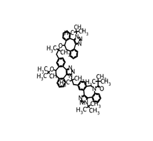 CC(C)(C)OC1Cc2ccccc2-c2c(nnn2C(C)(C)Cc2ccc3c(c2)-c2nnn(C(C)(C)C)c2-c2ccccc2N(C(=O)C(C)(C)C)C3)-c2ccc(CC(C)(C)OC3Cc4ccccc4-c4nnn(C(C)(C)C)c4-c4ccccc43)cc21